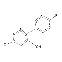 Oc1cc(Cl)nnc1-c1ccc(Br)cc1